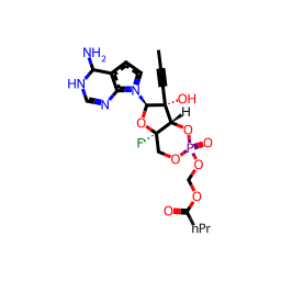 CC#C[C@]1(O)[C@H](n2ccc3c2N=CNC3N)O[C@]2(F)COP(=O)(OCOC(=O)CCC)O[C@@H]12